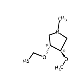 CO[C@@H]1CN(C)C[C@H]1OCS